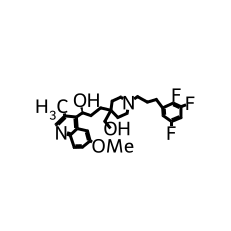 COc1ccc2ncc(C)c([C@@H](O)CCC3(CO)CCN(CCCc4cc(F)cc(F)c4F)CC3)c2c1